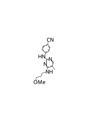 COCCCNc1nc(Nc2ccc(C#N)cc2)ncc1C